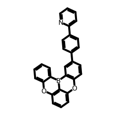 c1ccc(-c2ccc(-c3ccc4c(c3)B3c5ccccc5Oc5cccc(c53)O4)cc2)nc1